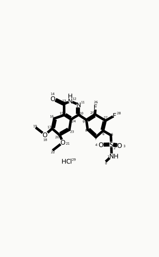 CNS(=O)(=O)Cc1ccc(-c2n[nH]c(=O)c3cc(OC)c(OC)cc23)c(F)c1F.Cl